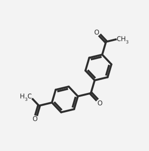 CC(=O)c1ccc(C(=O)c2ccc(C(C)=O)cc2)cc1